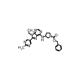 CCn1c(-c2cnc(C)nc2)nc2c(NC3CCN(C(=O)OCc4ccccc4)C3)ncnc21